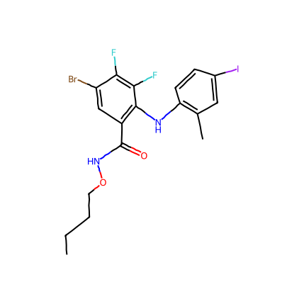 CCCCONC(=O)c1cc(Br)c(F)c(F)c1Nc1ccc(I)cc1C